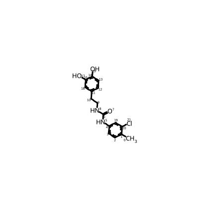 Cc1ccc(NC(=O)NCCc2ccc(O)c(O)c2)cc1Cl